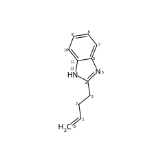 C=CCCc1nc2ccccc2[nH]1